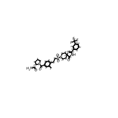 Cc1cc(C(=O)N2CCC[C@H]2C(N)=O)ccc1CCS(=O)(=O)N1CCC2(CC1)N=C(c1cccc(C(F)(F)F)c1)NC2=O